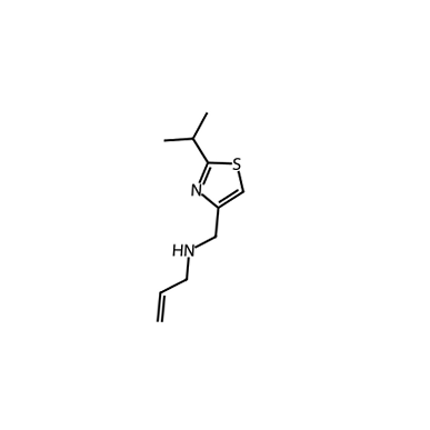 C=CCNCc1csc(C(C)C)n1